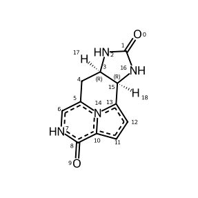 O=C1N[C@@H]2Cc3c[nH]c(=O)c4ccc(n34)[C@@H]2N1